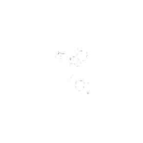 Cc1ccc2c(c1)c1c(n2CC(C)(O)c2ccc(Cl)cc2)CC2CCC1N2C